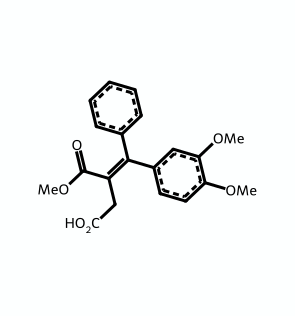 COC(=O)C(CC(=O)O)=C(c1ccccc1)c1ccc(OC)c(OC)c1